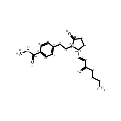 CCCCC(=O)/C=C/[C@H]1CCC(=O)N1CCc1ccc(C(=O)OC)cc1